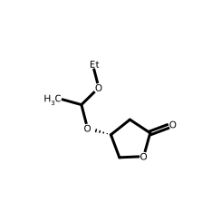 CCOC(C)O[C@H]1COC(=O)C1